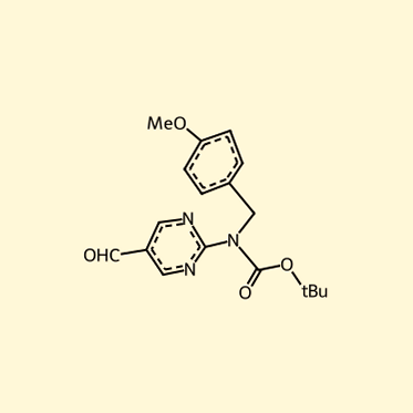 COc1ccc(CN(C(=O)OC(C)(C)C)c2ncc(C=O)cn2)cc1